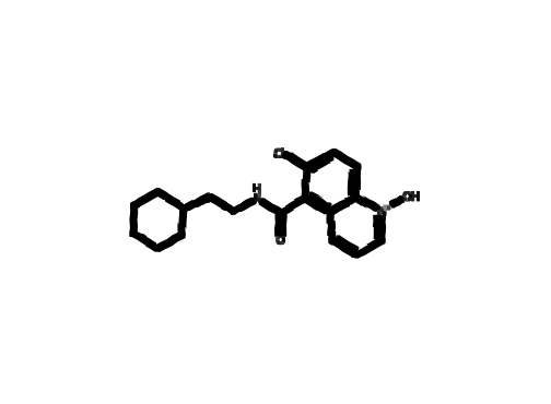 O=C(NCCC1CCCCC1)c1c(Cl)ccc2c1ccc[n+]2O